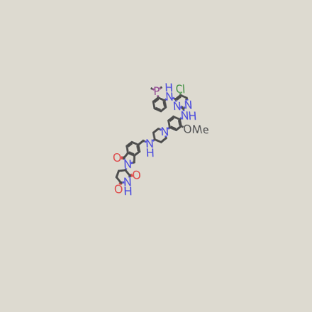 COc1cc(N2CCC(NCc3ccc4c(c3)CN(C3CCC(=O)NC3=O)C4=O)CC2)ccc1Nc1ncc(Cl)c(Nc2ccccc2P(C)C)n1